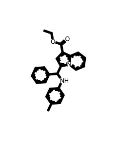 CCOC(=O)c1cc(C(Nc2ccc(C)cc2)c2ccccc2)n2ccccc12